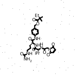 CCC(C)(C)C(=O)OCc1ccc(NC(=O)[C@H](CCCNC(N)=O)NC(=O)[C@@H](NC(=O)CN2C(=O)C=CC2=O)C(C)C)cc1